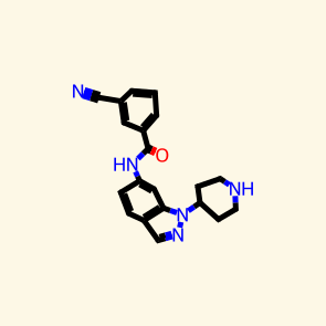 N#Cc1cccc(C(=O)Nc2ccc3cnn(C4CCNCC4)c3c2)c1